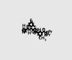 CCCN(CCC)C(=O)c1cc(C)cc(C(=O)N[C@@H](Cc2cc(F)cc(F)c2)[C@H](O)CNCc2cnc[nH]2)c1